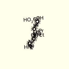 CCOC[C@H](CC(C)C)N(Cc1ccc(N=Nc2ccc(O)c(C(=O)O)c2)cc1)S(=O)(=O)c1ccc(Cc2nccc3[nH]c(C)nc23)cc1